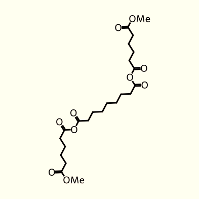 COC(=O)CCCCC(=O)OC(=O)CCCCCCCC(=O)OC(=O)CCCCC(=O)OC